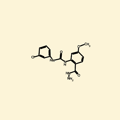 COc1ccc(C(=O)NN)c(NC(=O)Nc2cccc(Cl)c2)c1